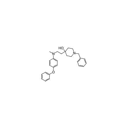 CN(CCC1(O)CCN(Cc2ccccc2)CC1)c1ccc(Oc2ccccc2)cc1